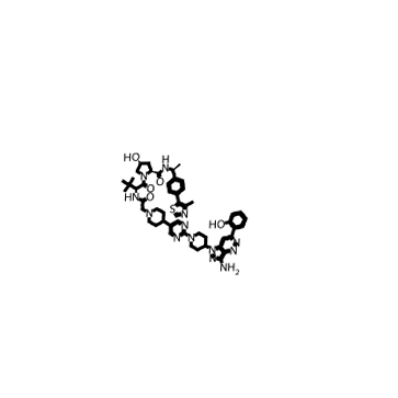 Cc1ncsc1-c1ccc([C@H](C)NC(=O)[C@@H]2C[C@@H](O)CN2C(=O)[C@@H](NC(=O)CN2CCC(c3cnc(N4CCC(n5nc(N)c6nnc(-c7ccccc7O)cc65)CC4)nc3)CC2)C(C)(C)C)cc1